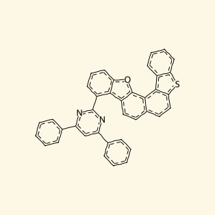 c1ccc(-c2cc(-c3ccccc3)nc(-c3cccc4oc5c(ccc6ccc7sc8ccccc8c7c65)c34)n2)cc1